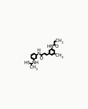 C=CC(=O)Nc1cc(C)cc(/C=C/C(=O)Nc2cccc(NC(C)S)c2)c1